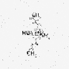 CCCCCCC[N+](C)(C)CCCCCCC.[OH-]